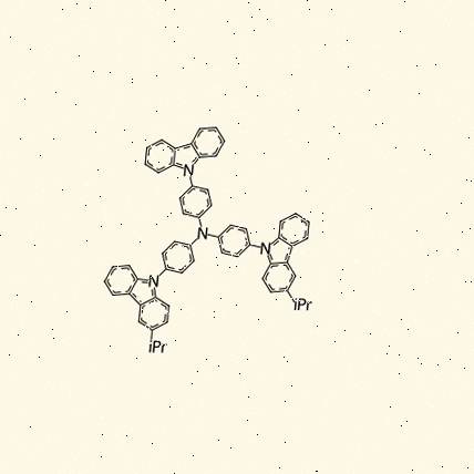 CC(C)c1ccc2c(c1)c1ccccc1n2-c1ccc(N(c2ccc(-n3c4ccccc4c4ccccc43)cc2)c2ccc(-n3c4ccccc4c4cc(C(C)C)ccc43)cc2)cc1